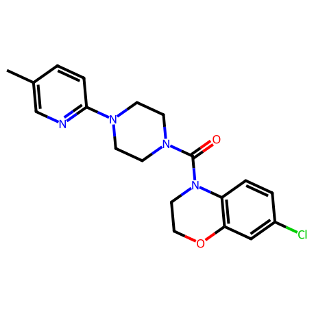 Cc1ccc(N2CCN(C(=O)N3CCOc4cc(Cl)ccc43)CC2)nc1